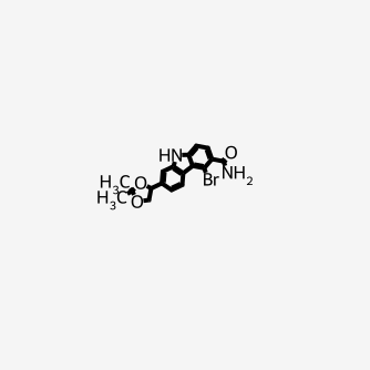 CC1(C)OCC(c2ccc3c(c2)[nH]c2ccc(C(N)=O)c(Br)c23)O1